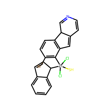 [SH][Zr]([Cl])([Cl])([c]1c(Br)ccc2c1C=C1C=CN=CC12)[CH]1C=Cc2ccccc21